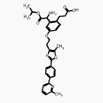 Cc1cccc(-c2ccc(-c3nc(CCOc4ccc(CCC(=O)O)c(C(N)C(=O)OC(C)C)c4)c(C)o3)cc2)n1